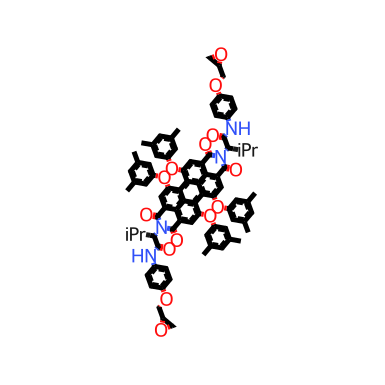 Cc1cc(C)cc(Oc2cc3c4c(cc(Oc5cc(C)cc(C)c5)c5c6c(Oc7cc(C)cc(C)c7)cc7c8c(cc(Oc9cc(C)cc(C)c9)c(c2c45)c86)C(=O)N(C(C(=O)Nc2ccc(OCC4CO4)cc2)C(C)C)C7=O)C(=O)N(C(C(=O)Nc2ccc(OCC4CO4)cc2)C(C)C)C3=O)c1